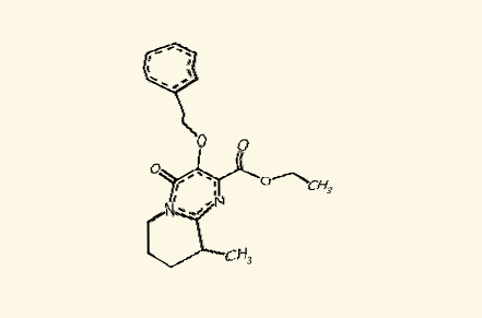 CCOC(=O)c1nc2n(c(=O)c1OCc1ccccc1)CCCC2C